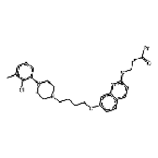 Cc1cccc(N2CCN(CCCCOc3ccc4ccc(OCOC(=O)C(C)C)nc4c3)CC2)c1Cl